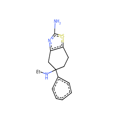 CCNC1(c2ccccc2)CCc2sc(N)nc2C1